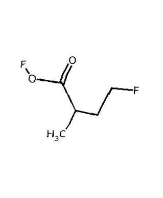 CC(CCF)C(=O)OF